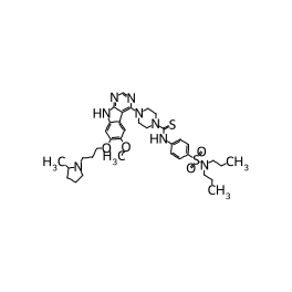 CCCN(CCC)S(=O)(=O)c1ccc(NC(=S)N2CCN(c3ncnc4[nH]c5cc(OCCCN6CCCC6C)c(OC)cc5c34)CC2)cc1